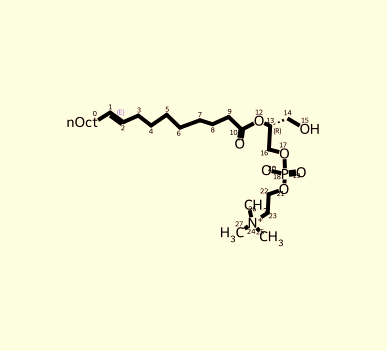 CCCCCCCC/C=C/CCCCCCCC(=O)O[C@H](CO)COP(=O)([O-])OCC[N+](C)(C)C